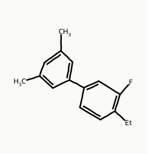 CCc1ccc(-c2cc(C)cc(C)c2)cc1F